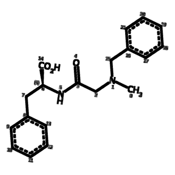 CN(CC(=O)N[C@@H](Cc1ccccc1)C(=O)O)Cc1ccccc1